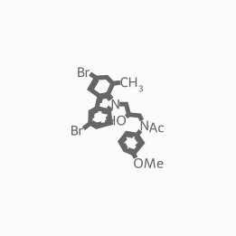 COc1cccc(N(CC(O)Cn2c3c(c4cc(Br)ccc42)C=C(Br)CC3C)C(C)=O)c1